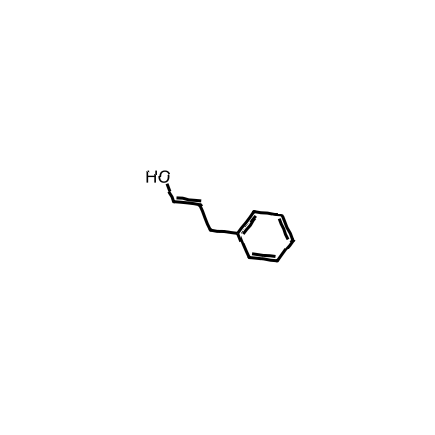 OC=CCc1ccccc1